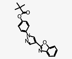 CC(C)(C)C(=O)Oc1ccc(-n2cc(-c3nc4ccccc4o3)cn2)cc1